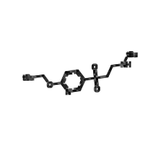 CC(C)(C)COc1ccc(S(=O)(=O)CCNC(C)(C)C)cn1